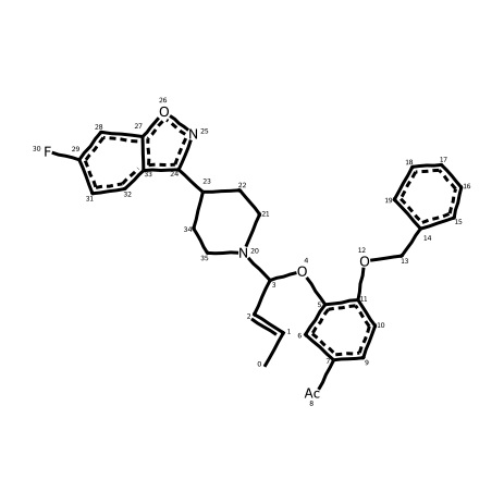 CC=CC(Oc1cc(C(C)=O)ccc1OCc1ccccc1)N1CCC(c2noc3cc(F)ccc23)CC1